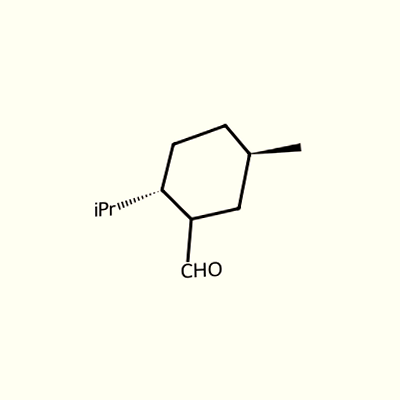 CC(C)[C@@H]1CC[C@@H](C)CC1C=O